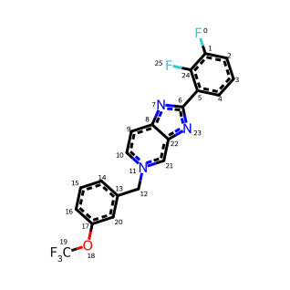 Fc1cccc(-c2nc3ccn(Cc4cccc(OC(F)(F)F)c4)cc-3n2)c1F